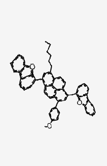 CCCCCCc1cc(-c2cccc3c2oc2ccccc23)c2ccc3c(-c4ccc(OC)cc4)cc(-c4cccc5c4oc4ccccc45)c4ccc1c2c34